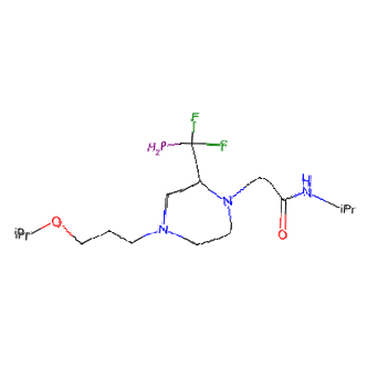 CC(C)NC(=O)CN1CCN(CCCOC(C)C)CC1C(F)(F)P